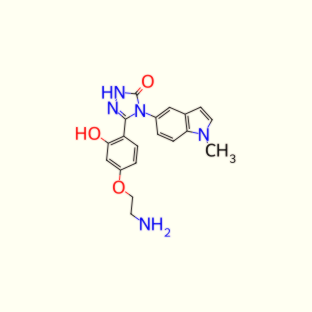 Cn1ccc2cc(-n3c(-c4ccc(OCCN)cc4O)n[nH]c3=O)ccc21